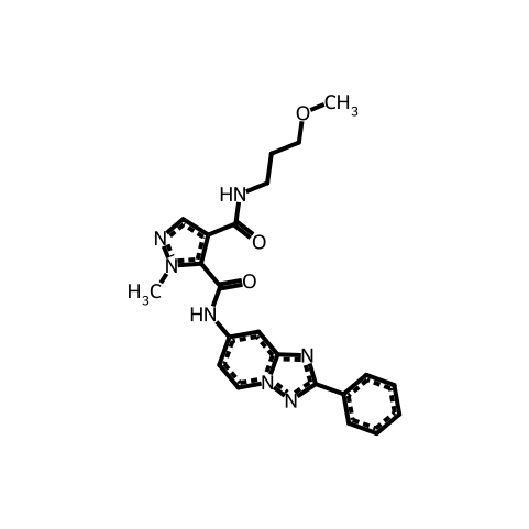 COCCCNC(=O)c1cnn(C)c1C(=O)Nc1ccn2nc(-c3ccccc3)nc2c1